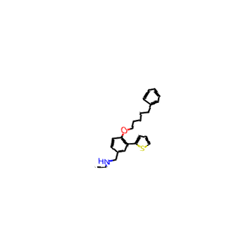 [CH2]CNCc1ccc(OCCCCCc2ccccc2)c(-c2cccs2)c1